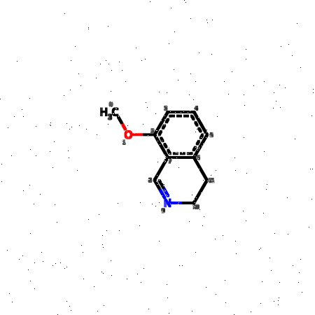 COc1cccc2c1C=NCC2